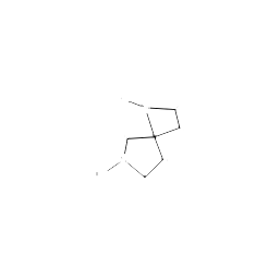 CC(C)N1CCC2(CCN2I)C1